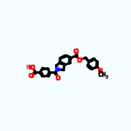 COc1ccc(COC(=O)c2ccc3c(c2)CN(C(=O)c2ccc(C(=O)O)cc2)C3)cc1